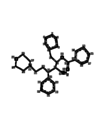 NC(C(Cc1ccccc1)OC(=O)c1ccccc1)C(CCN1CCOCC1)c1ccccc1